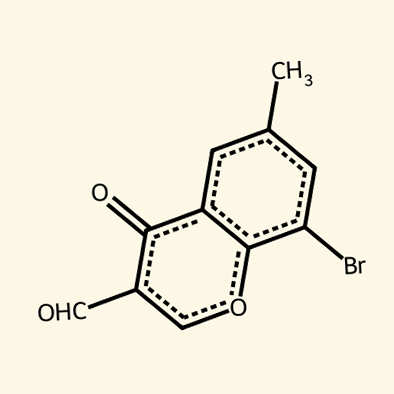 Cc1cc(Br)c2occ(C=O)c(=O)c2c1